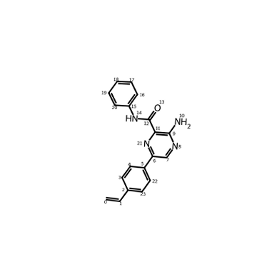 C=Cc1ccc(-c2cnc(N)c(C(=O)Nc3ccccc3)n2)cc1